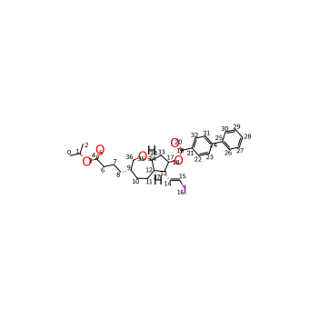 CC(C)OC(=O)CCC[C@H]1CC[C@@H]2[C@@H](C=CI)[C@H](OC(=O)c3ccc(-c4ccccc4)cc3)C[C@@H]2OC1